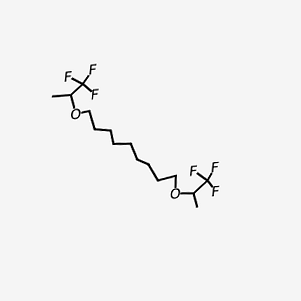 CC(OCCCCCCCCCOC(C)C(F)(F)F)C(F)(F)F